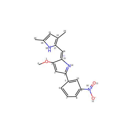 COC1=CC(c2cccc([N+](=O)[O-])c2)=N/C1=C/c1[nH]c(C)cc1C